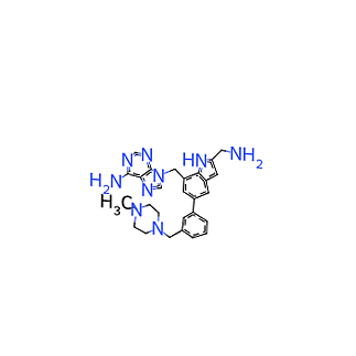 CN1CCN(Cc2cccc(-c3cc(Cn4cnc5c(N)ncnc54)c4[nH]c(CN)cc4c3)c2)CC1